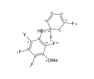 COc1c(F)c(F)c(F)c(BC2(F)C=CC=C(F)C2)c1F